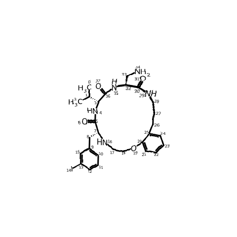 CC(C)[C@H]1NC(=O)[C@@H](Cc2cccc(I)c2)NCCOc2ccccc2CCCNC(=O)[C@H](CN)NC1=O